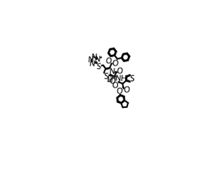 CO[C@@]1(NC(=O)C(C(=O)Oc2ccc3c(c2)CCC3)c2ccsc2)C(=O)N2C(C(=O)OC(c3ccccc3)c3ccccc3)=C(CSc3nnnn3C)CS[C@H]21